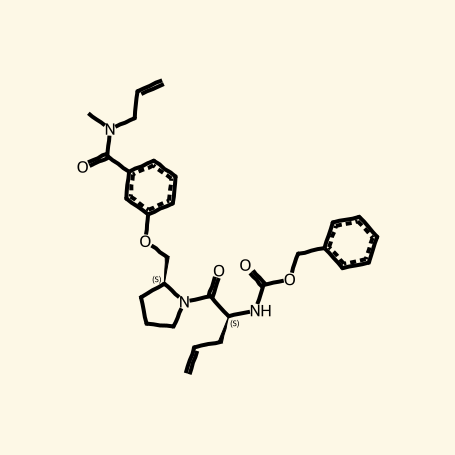 C=CC[C@H](NC(=O)OCc1ccccc1)C(=O)N1CCC[C@H]1COc1cccc(C(=O)N(C)CC=C)c1